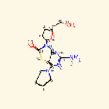 Nc1nc(N2CCCC2)c2sc(=O)n([C@H]3CC[C@@H](CO)O3)c2n1